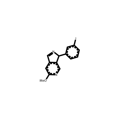 COc1cc2c(cn1)C(c1cccc(I)c1)N=C2